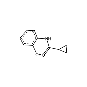 O=C(Nc1ccccc1O)C1CC1